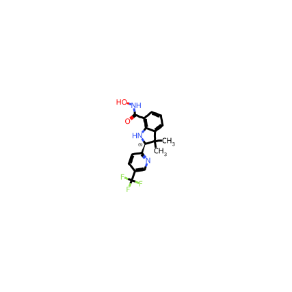 CC1(C)c2cccc(C(=O)NO)c2N[C@@H]1c1ccc(C(F)(F)F)cn1